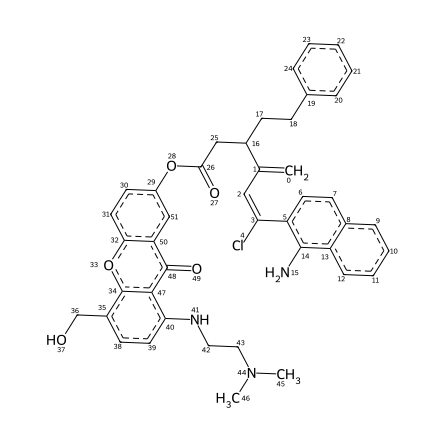 C=C(/C=C(/Cl)c1ccc2ccccc2c1N)C(CCc1ccccc1)CC(=O)Oc1ccc2oc3c(CO)ccc(NCCN(C)C)c3c(=O)c2c1